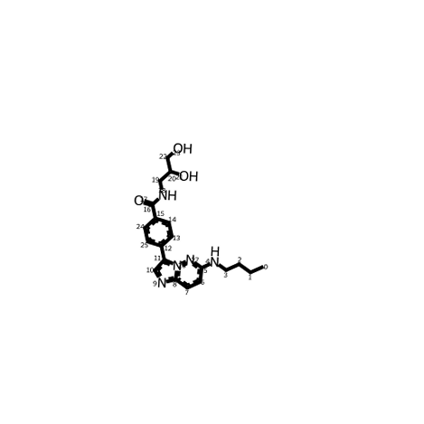 CCCCNc1ccc2ncc(-c3ccc(C(=O)NCC(O)CO)cc3)n2n1